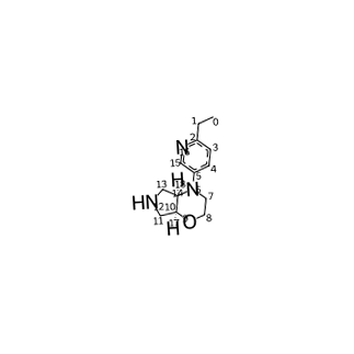 CCc1ccc(N2CCO[C@H]3CNC[C@H]32)cn1